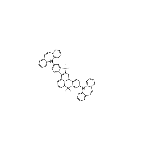 CC1(C)c2cc(N3c4ccccc4C=Cc4ccccc43)ccc2-c2c1cc1c3c(cccc23)C(C)(C)c2cc(N3c4ccccc4C=Cc4ccccc43)ccc2-1